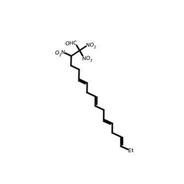 CC/C=C/C/C=C/C/C=C/C/C=C/CCC([N+](=O)[O-])C([C]=O)([N+](=O)[O-])[N+](=O)[O-]